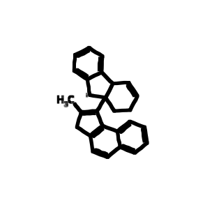 CC1=C(C23[C]c4ccccc4C2C=CCC3)c2c(ccc3ccccc23)C1